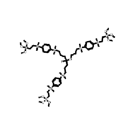 CO[Si](CC[Si](C)(C)c1ccc([Si](C)(C)CCCOC(F)(CCC[Si](C)(C)c2ccc([Si](C)(C)CC[Si](OC)(OC)OC)cc2)CCC[Si](C)(C)c2ccc([Si](C)(C)CC[Si](OC)(OC)OC)cc2)cc1)(OC)OC